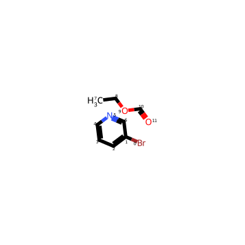 Brc1cccnc1.CCOC=O